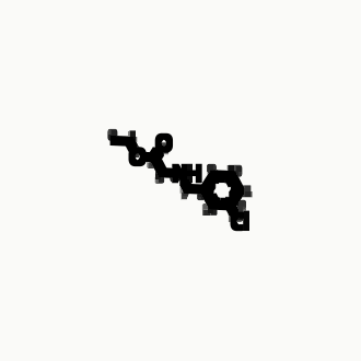 CCOC(=O)CNCc1cccc(Cl)c1